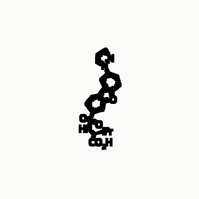 CC(C)[C@H](NS(=O)(=O)c1ccc2c(c1)oc1ccc(-n3cccn3)cc12)C(=O)O